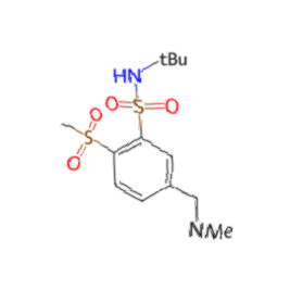 CNCc1ccc(S(C)(=O)=O)c(S(=O)(=O)NC(C)(C)C)c1